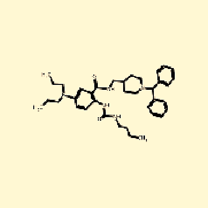 CCCCNC(=O)Nc1ccc(N(CCC)CCC)cc1C(=O)NCC1CCN(C(c2ccccc2)c2ccccc2)CC1